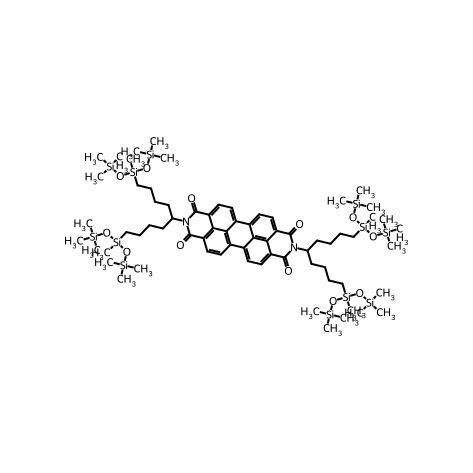 C[Si](C)(C)O[Si](C)(CCCCC(CCCC[Si](C)(O[Si](C)(C)C)O[Si](C)(C)C)N1C(=O)c2ccc3c4ccc5c6c(ccc(c7ccc(c2c37)C1=O)c64)C(=O)N(C(CCCC[Si](C)(O[Si](C)(C)C)O[Si](C)(C)C)CCCC[Si](C)(O[Si](C)(C)C)O[Si](C)(C)C)C5=O)O[Si](C)(C)C